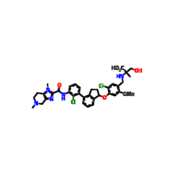 COc1cc(OC2CCc3c(-c4cccc(NC(=O)c5nc6c(n5C)CCN(C)C6)c4Cl)cccc32)c(Cl)cc1CNC(C)(CO)C(=O)O